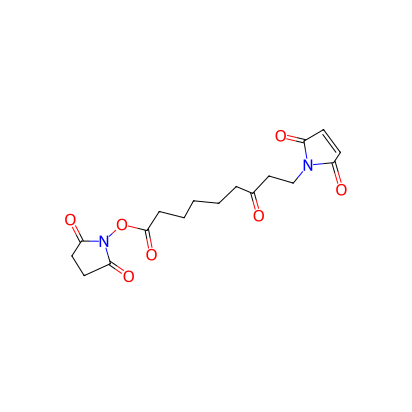 O=C(CCCCCC(=O)ON1C(=O)CCC1=O)CCN1C(=O)C=CC1=O